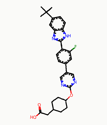 CC(C)(C)c1ccc2[nH]c(-c3ccc(-c4cnc(OC5CCC(CC(=O)O)CC5)nc4)cc3F)nc2c1